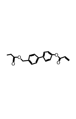 C=CC(=O)Oc1ccc(-c2ccc(COC(=O)CC)cc2)cc1